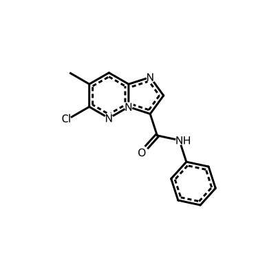 Cc1cc2ncc(C(=O)Nc3ccccc3)n2nc1Cl